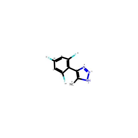 N#Cc1[nH]nnc1-c1c(F)cc(F)cc1F